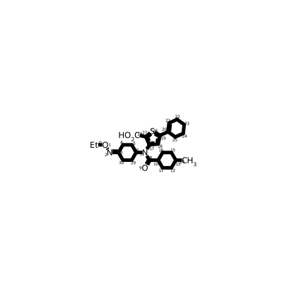 CCON=C1CCC(N(C(=O)C2CCC(C)CC2)c2cc(C3=CCCCC3)sc2C(=O)O)CC1